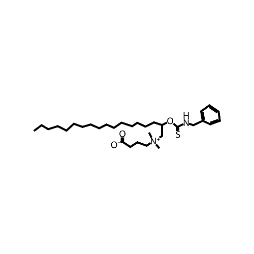 CCCCCCCCCCCCCCCCC(C[N+](C)(C)CCCC(=O)[O-])OC(=S)NCc1ccccc1